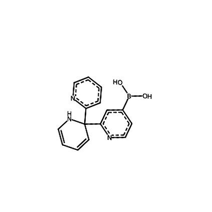 OB(O)c1ccnc(C2(c3ccccn3)C=CC=CN2)c1